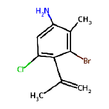 C=C(C)c1c(Cl)cc(N)c(C)c1Br